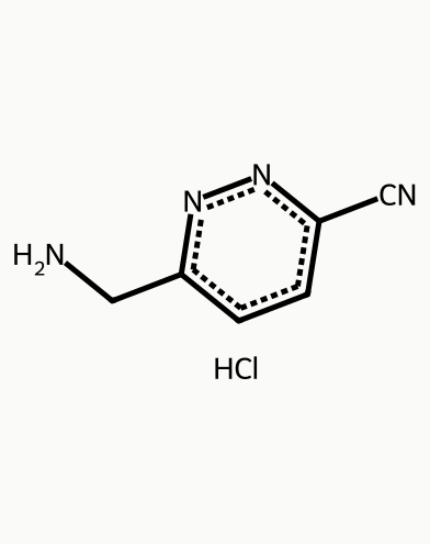 Cl.N#Cc1ccc(CN)nn1